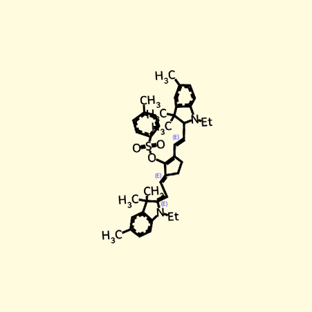 CCN1/C(=C/C=C2\CCC(/C=C/C3N(CC)c4ccc(C)cc4C3(C)C)=C2OS(=O)(=O)c2ccc(C)cc2)C(C)(C)c2cc(C)ccc21